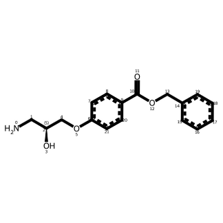 NC[C@H](O)COc1ccc(C(=O)OCc2ccccc2)cc1